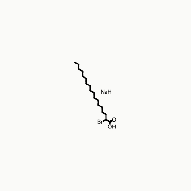 CCCCCCCCCCCCCCCCC(Br)C(=O)O.[NaH]